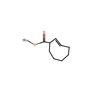 CC(C)(C)SC(=O)C1/C=C/CCCCC1